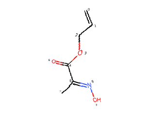 C=CCOC(=O)C(C)=NO